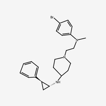 CN(CCN1CCC(N[C@@H]2C[C@H]2c2ccccc2)CC1)c1ccc(Br)cc1